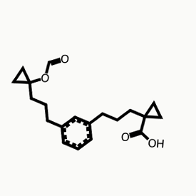 O=COC1(CCCc2cccc(CCCC3(C(=O)O)CC3)c2)CC1